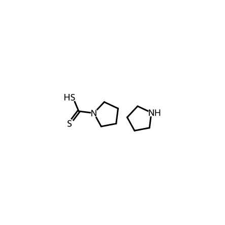 C1CCNC1.S=C(S)N1CCCC1